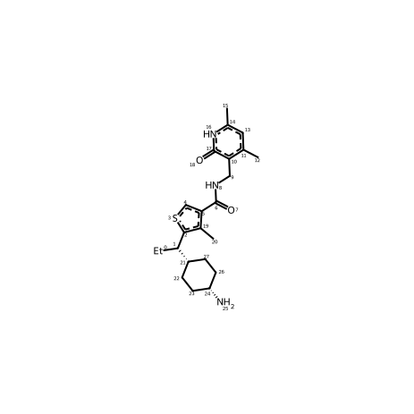 CCC(c1scc(C(=O)NCc2c(C)cc(C)[nH]c2=O)c1C)[C@H]1CC[C@@H](N)CC1